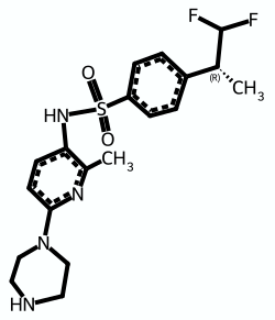 Cc1nc(N2CCNCC2)ccc1NS(=O)(=O)c1ccc([C@@H](C)C(F)F)cc1